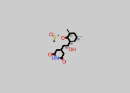 C[C@@H]1C[C@@H]([C@H](O)CC2CC(=O)NC(=O)C2)C(=O)[C@@H](C)C1.C[S+](C)[O-]